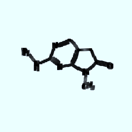 CC(C)Nc1ncc2c(n1)N(C)C(=O)C2